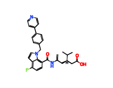 C=C(C[C@H](CC(=O)O)C(C)C)NC(=O)c1ccc(F)c2ccn(Cc3ccc(-c4ccncc4)cc3)c12